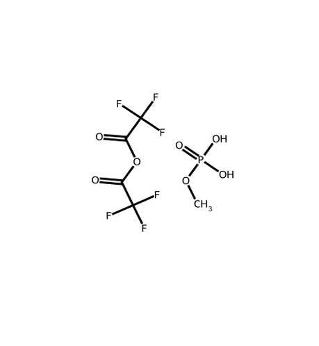 COP(=O)(O)O.O=C(OC(=O)C(F)(F)F)C(F)(F)F